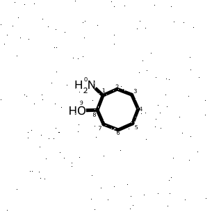 NC1CCCCCCC1O